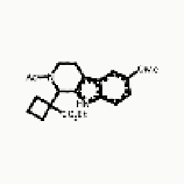 CCOC(=O)C1(C2c3[nH]c4ccc(OC)cc4c3CCN2C(C)=O)CCC1